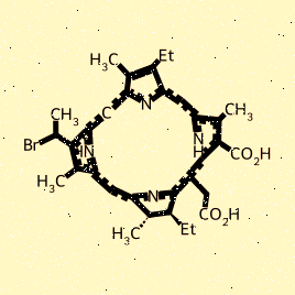 CCC1=C(C)c2cc3[nH]c(cc4nc(c(CC(=O)O)c5[nH]c(cc1n2)c(C)c5C(=O)O)[C@@H](CC)[C@@H]4C)c(C)c3C(C)Br